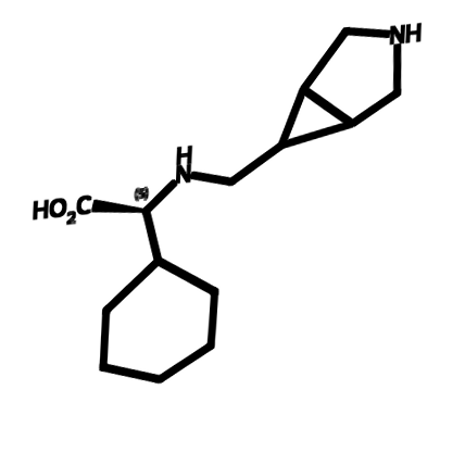 O=C(O)[C@@H](NCC1C2CNCC21)C1CCCCC1